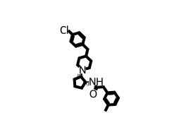 Cc1cccc(CC(=O)N[C@@H]2CCC[C@H]2N2CCC(Cc3ccc(Cl)cc3)CC2)c1